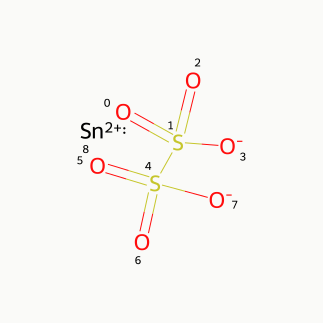 O=S(=O)([O-])S(=O)(=O)[O-].[Sn+2]